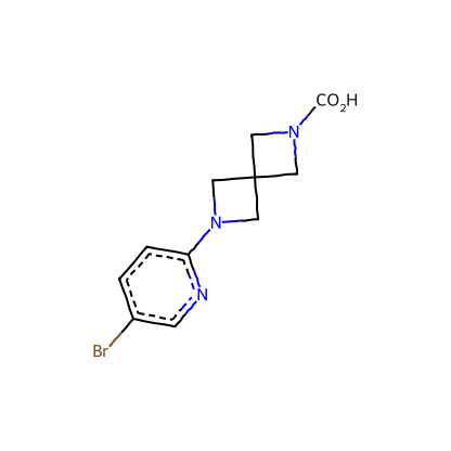 O=C(O)N1CC2(C1)CN(c1ccc(Br)cn1)C2